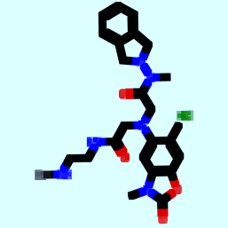 CCNCCNC(=O)CN(CC(=O)N(C)N1Cc2ccccc2C1)c1cc2c(cc1C)oc(=O)n2C.Cl